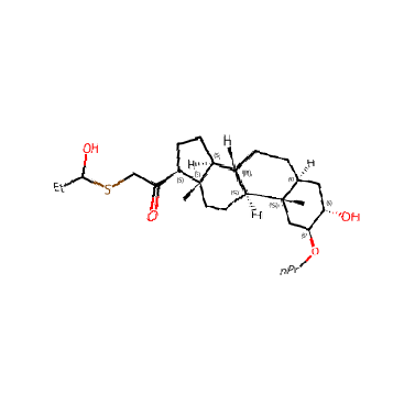 CCCO[C@H]1C[C@@]2(C)[C@@H](CC[C@@H]3[C@@H]2CC[C@]2(C)[C@@H](C(=O)CSC(O)CC)CC[C@@H]32)C[C@@H]1O